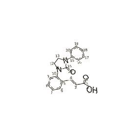 O=C(O)C=Cc1ccccc1N1CCN(c2ccccc2)C1=O